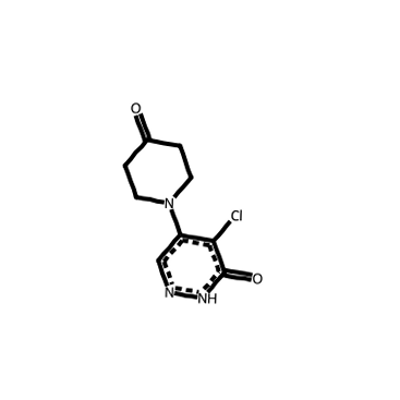 O=C1CCN(c2cn[nH]c(=O)c2Cl)CC1